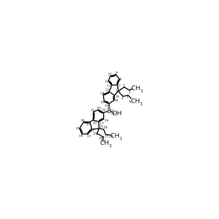 CCCC1(CCC)c2ccccc2-c2ccc(B(O)c3ccc4c(c3)C(CCC)(CCC)c3ccccc3-4)cc21